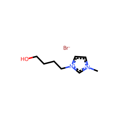 Cn1cc[n+](CCCCO)c1.[Br-]